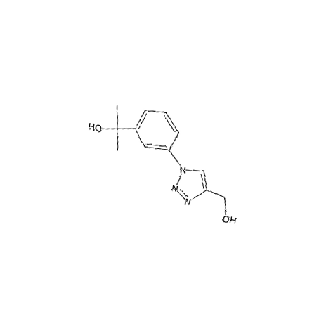 CC(C)(O)c1cccc(-n2cc(CO)nn2)c1